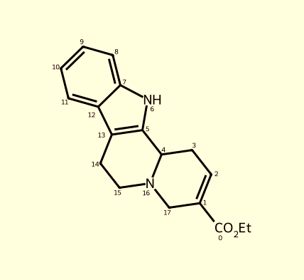 CCOC(=O)C1=CCC2c3[nH]c4ccccc4c3CCN2C1